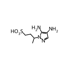 CC(CCS(=O)(=O)O)n1ncc(N)c1N